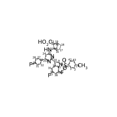 Cc1ccc(S(=O)(=O)n2cc(-c3nc(NC4C5CCC(CC5)C4C(=O)O)cc(-c4ccc(F)cc4)n3)c3cc(F)cc(F)c32)cc1